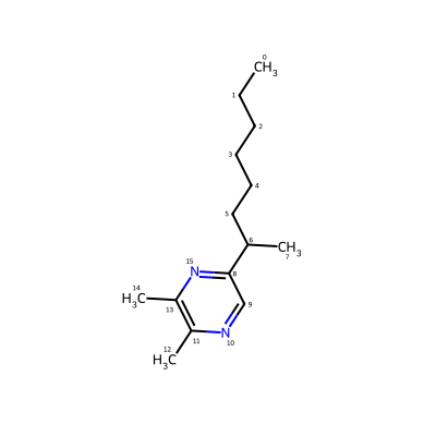 CCCCCCC(C)c1cnc(C)c(C)n1